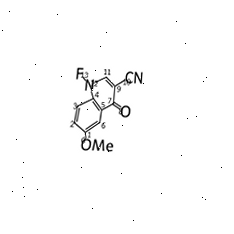 COc1ccc2c(c1)c(=O)c(C#N)cn2F